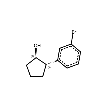 O[C@@H]1CCC[C@H]1c1cccc(Br)c1